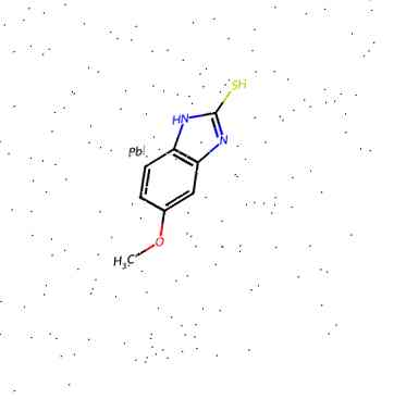 COc1ccc2[nH]c(S)nc2c1.[Pb]